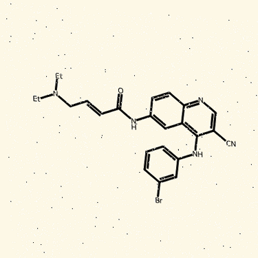 CCN(CC)CC=CC(=O)Nc1ccc2ncc(C#N)c(Nc3cccc(Br)c3)c2c1